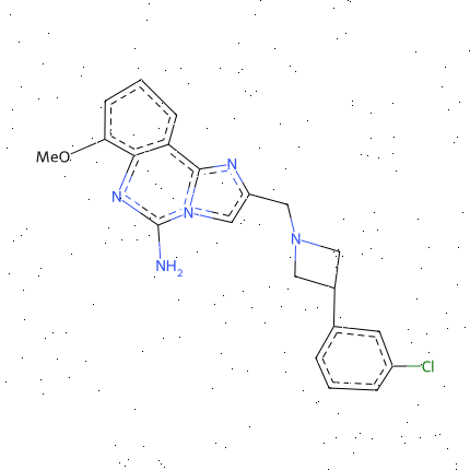 COc1cccc2c1nc(N)n1cc(CN3CC(c4cccc(Cl)c4)C3)nc21